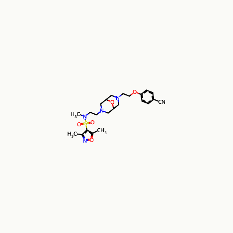 Cc1noc(C)c1S(=O)(=O)N(C)CCN1CC2CN(CCOc3ccc(C#N)cc3)CC(C1)O2